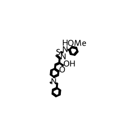 COc1ccccc1Nc1nc(C2=Cc3ccc(N(C)Cc4ccccc4)cc3OC2O)cs1